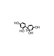 OC1=CC2(O)SC2(c2ccc(O)cc2O)C=C1